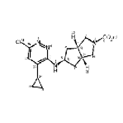 O=C(O)N1C[C@H]2C[C@H](Nc3nnc(Cl)cc3C3CC3)C[C@H]2C1